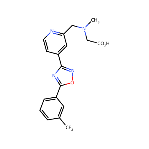 CN(CC(=O)O)Cc1cc(-c2noc(-c3cccc(C(F)(F)F)c3)n2)ccn1